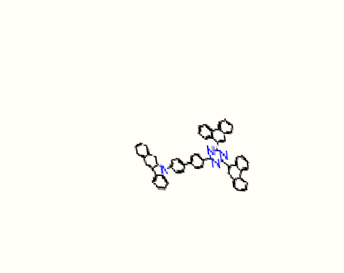 c1ccc2cc3c(cc2c1)c1ccccc1n3-c1ccc(-c2ccc(-c3nc(-c4cc5ccccc5c5ccccc45)nc(-c4cc5ccccc5c5ccccc45)n3)cc2)cc1